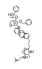 Cc1ccc([C@]23OC[C@](C(C)(C)O)(O2)[C@@H](OCc2ccccc2)[C@H](OCc2ccccc2)[C@H]3OCc2ccccc2)cc1Cc1ccc(CCCC(=O)N[C@@H](C)C(=O)NCCN(C)C)cc1